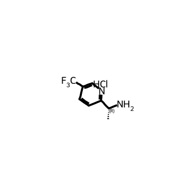 C[C@@H](N)c1ccc(C(F)(F)F)cn1.Cl